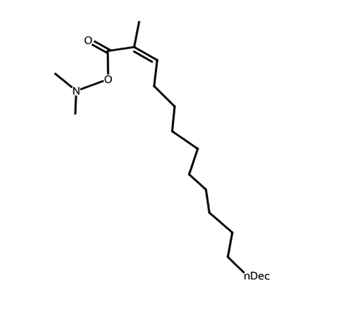 CCCCCCCCCCCCCCCCCCCC=C(C)C(=O)ON(C)C